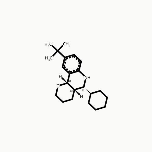 CC(C)(C)c1ccc2c(c1)[C@H]1OCCC[C@H]1[C@@H](C1CCCCC1)N2